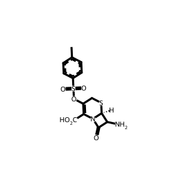 Cc1ccc(S(=O)(=O)OC2=C(C(=O)O)N3C(=O)C(N)[C@@H]3SC2)cc1